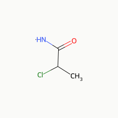 CC(Cl)C([NH])=O